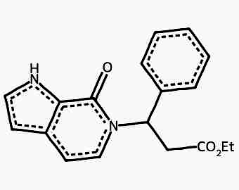 CCOC(=O)CC(c1ccccc1)n1ccc2cc[nH]c2c1=O